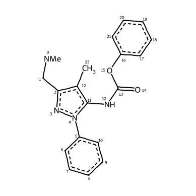 CNCc1nn(-c2ccccc2)c(NC(=O)Oc2ccccc2)c1C